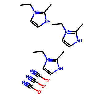 CC[n+]1cc[nH]c1C.CC[n+]1cc[nH]c1C.CC[n+]1cc[nH]c1C.N#C[O-].N#C[O-].N#C[O-]